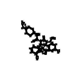 CC(C)(C)C[C@H]1N[C@@H](C(=O)NC2CCN(CC(F)(F)F)CC2)[C@H](c2cccc(Cl)c2F)[C@@]12C(=O)Nc1cc(Cl)ccc12